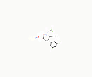 CC1C(c2cc(F)cc(F)c2F)CC(OC(N)=O)C(=O)N1C(F)C(F)F